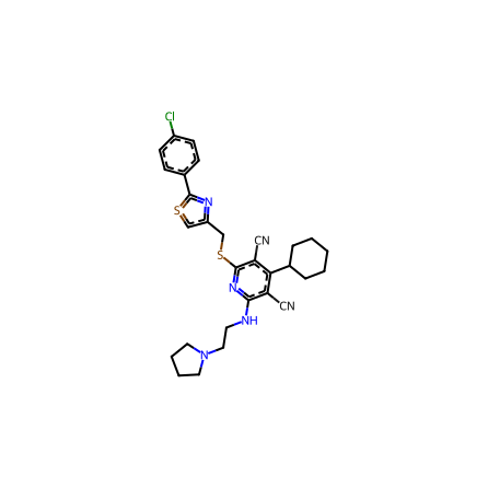 N#Cc1c(NCCN2CCCC2)nc(SCc2csc(-c3ccc(Cl)cc3)n2)c(C#N)c1C1CCCCC1